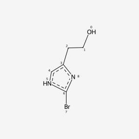 OCCc1c[nH]c(Br)n1